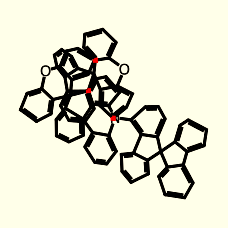 c1ccc2c(c1)Oc1ccccc1C21c2ccccc2-c2ccc(-c3ccccc3N(c3cccc4c3-c3ccccc3C43c4ccccc4Oc4ccccc43)c3cccc4c3-c3ccccc3C43c4ccccc4-c4ccccc43)cc21